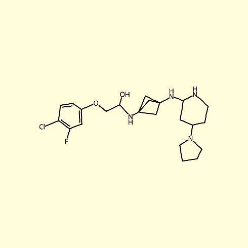 OC(COc1ccc(Cl)c(F)c1)NC12CC(NC3CC(N4CCCC4)CCN3)(C1)C2